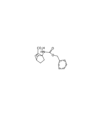 O=C(NC12CCC(CC1C(=O)O)O2)OCc1ccccc1